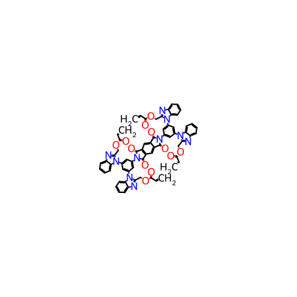 C=CC(=O)OCc1nc2ccccc2n1-c1cc(-n2c(=O)c3cc4c(=O)n(-c5cc(-n6c(COC(=O)C=C)nc7ccccc76)cc(-n6c(COC(=O)C=C)nc7ccccc76)c5)c(=O)c4cc3c2=O)cc(-n2c(COC(=O)C=C)nc3ccccc32)c1